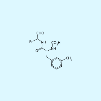 Cc1cccc(CC(NC(=O)O)C(=O)NC(C=O)C(C)C)c1